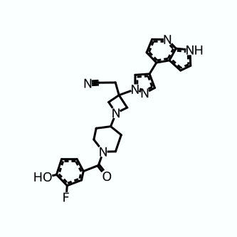 N#CCC1(n2cc(-c3ccnc4[nH]ccc34)cn2)CN(C2CCN(C(=O)c3ccc(O)c(F)c3)CC2)C1